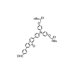 CCCCC(CC)COc1ccc(N(c2ccc(OCC(CC)CCCC)cc2)c2ccc(-c3ccc4c(c3)C(=O)c3cc(-c5ccc(C=O)cc5)ccc3-4)cc2)cc1